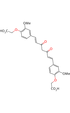 COc1cc(/C=C/C(=O)CC(=O)/C=C/c2ccc(OCC(=O)O)c(OC)c2)ccc1OCC(=O)O